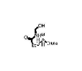 CCC(=O)NCO.CO[PH](=O)O